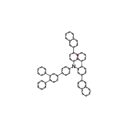 c1ccc(-c2ccc(-c3ccc(N(c4ccc(-c5ccc6ccccc6c5)cc4)c4cc(-c5ccc6ccccc6c5)ccc4-c4ccccc4)cc3)cc2-c2ccccc2)cc1